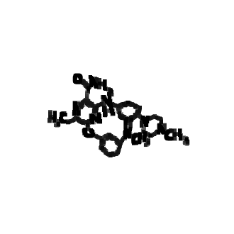 CCc1nc(C(N)=O)c(Nc2ccc(N3CCN(C)CC3)cc2)nc1Oc1cccc(NC)c1